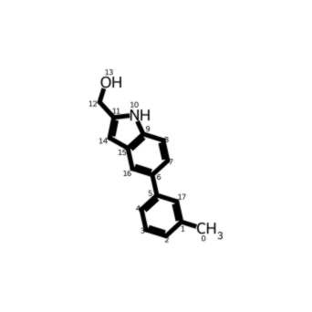 Cc1cccc(-c2ccc3[nH]c(CO)cc3c2)c1